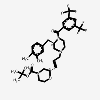 Cc1ccc(C[C@@H]2CN(CC=C[C@H]3CN(C(=O)OC(C)(C)C)CCO3)CCN2C(=O)c2cc(C(F)(F)F)cc(C(F)(F)F)c2)cc1C